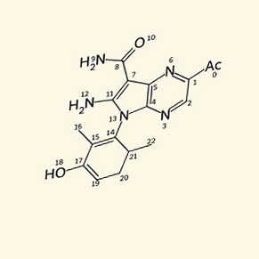 CC(=O)c1cnc2c(n1)c(C(N)=O)c(N)n2C1=C(C)C(O)=CCC1C